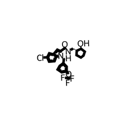 O=C(NC[C@H]1CCCC[C@@H]1O)c1cc2cc(Cl)ccc2n1Cc1cccc(OC(F)(F)F)c1